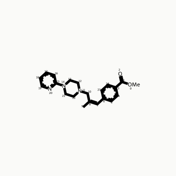 COC(=O)c1ccc(C=C(C)CN2CCN(c3ccccn3)CC2)cc1